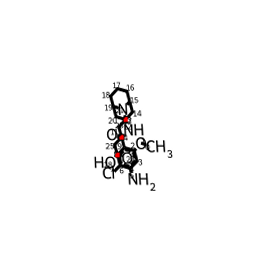 COc1cc(N)c(Cl)cc1C(=O)NC1CC2CCCC(C1)N2CCCCC(=O)O